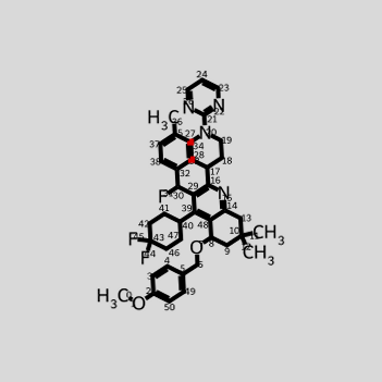 COc1ccc(COC2CC(C)(C)Cc3nc(C4CCN(c5ncccn5)CC4)c(C(F)c4ccc(C)cc4)c(C4CCC(F)(F)CC4)c32)cc1